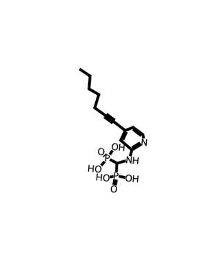 CCCCCC#Cc1ccnc(NC(P(=O)(O)O)P(=O)(O)O)c1